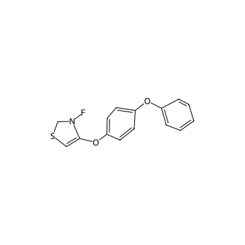 FN1CSC=C1Oc1ccc(Oc2ccccc2)cc1